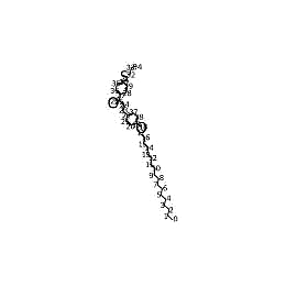 CCCCCCCCCCCCCCCCCCOc1ccc(C=CC(=O)c2ccc(SCCC)cc2)cc1